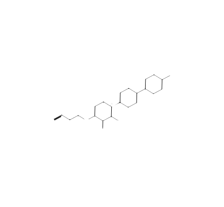 C=CCCOC1CC[C@@H](C2CCC(C3CCC(C)CC3)CC2)C(F)C1F